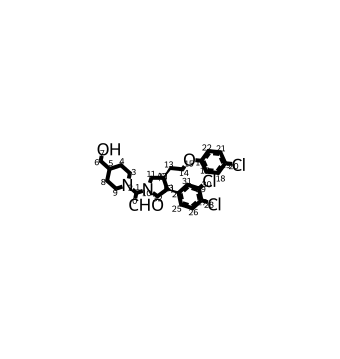 O=CC(N1CCC(CO)CC1)N1C[C@@H](CCOc2ccc(Cl)cc2)[C@@H](c2ccc(Cl)c(Cl)c2)C1